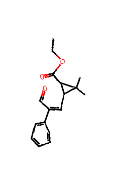 CCOC(=O)C1C(C=C(C=O)c2ccccc2)C1(C)C